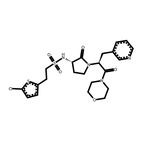 O=C([C@H](Cc1cccnc1)N1CC[C@H](NS(=O)(=O)CCc2ccc(Cl)s2)C1=O)N1CCOCC1